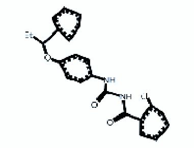 CCC(Oc1ccc(NC(=O)NC(=O)c2ccccc2Cl)cc1)c1ccccc1